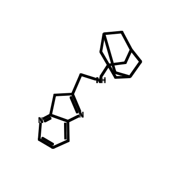 c1cnc2c(c1)N=C(CNC13CC4CC(CC(C4)C1)C3)C2